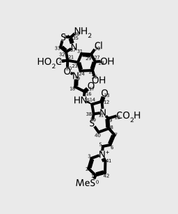 CSc1cc[n+](C/C=C\C2=C(C(=O)O)N3C(=O)[C@H](NC(=O)C=NOC(C(=O)O)(c4cc(O)c(O)c(Cl)c4)c4csc(N)n4)C3SC2)cc1